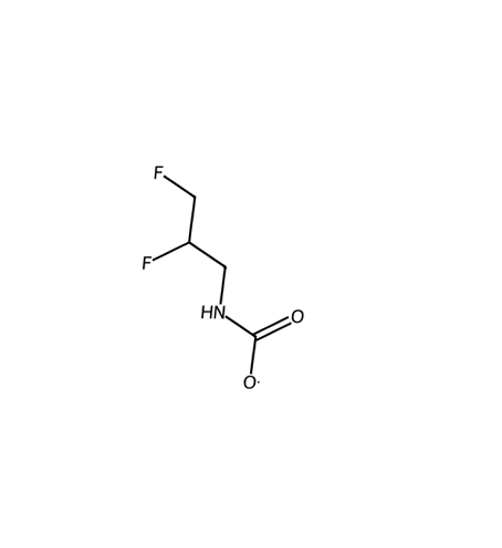 [O]C(=O)NCC(F)CF